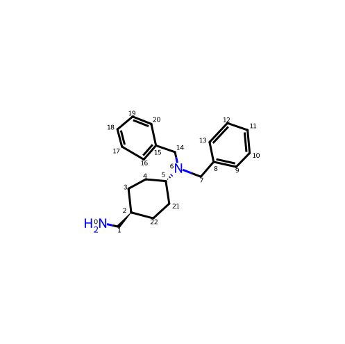 NC[C@H]1CC[C@H](N(Cc2ccccc2)Cc2ccccc2)CC1